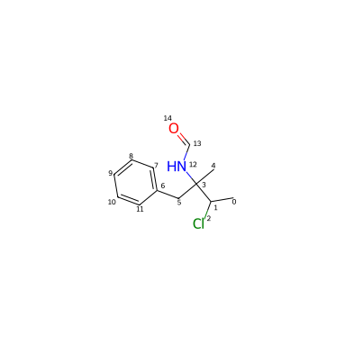 CC(Cl)C(C)(Cc1ccccc1)NC=O